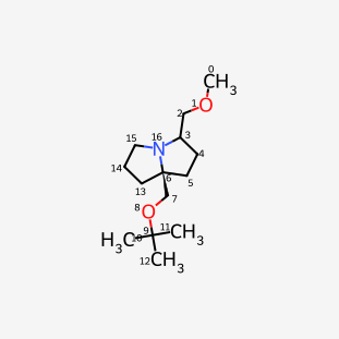 COCC1CC[C@]2(COC(C)(C)C)CCCN12